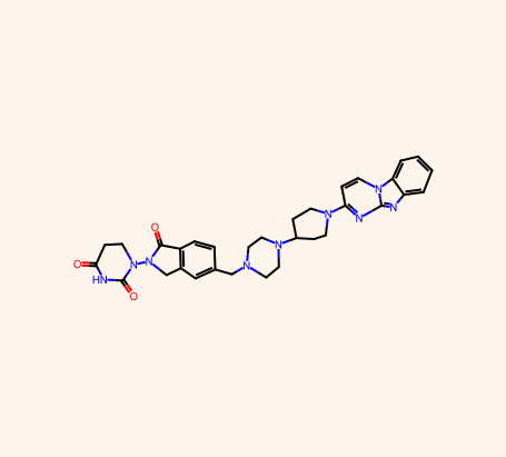 O=C1CCN(N2Cc3cc(CN4CCN(C5CCN(c6ccn7c(n6)nc6ccccc67)CC5)CC4)ccc3C2=O)C(=O)N1